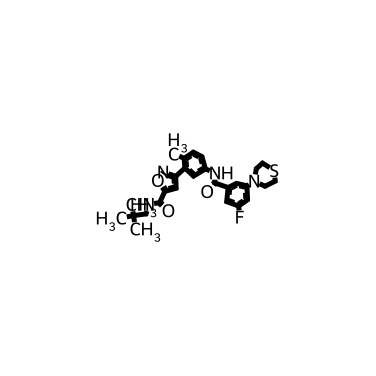 Cc1ccc(NC(=O)c2cc(F)cc(N3CCSCC3)c2)cc1-c1cc(C(=O)NCC(C)(C)C)on1